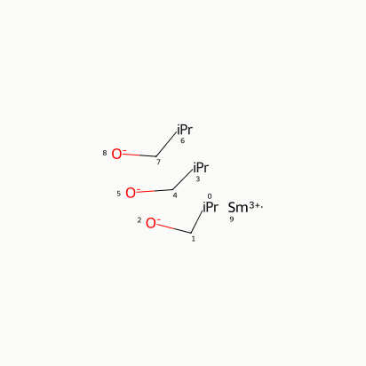 CC(C)C[O-].CC(C)C[O-].CC(C)C[O-].[Sm+3]